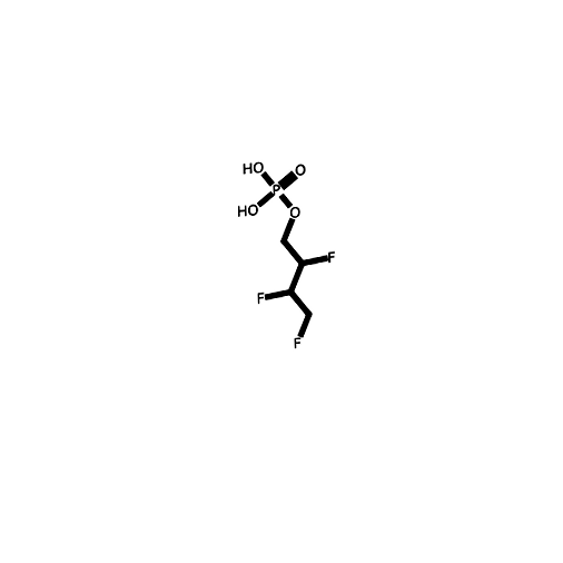 O=P(O)(O)OCC(F)C(F)CF